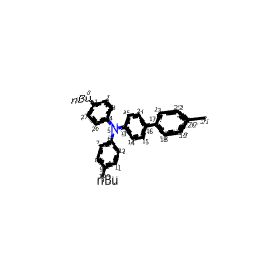 CCCCc1ccc(N(c2ccc(CCCC)cc2)c2ccc(-c3ccc(C)cc3)cc2)cc1